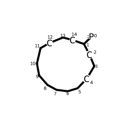 [P]C1CCCCCCCCCCCCC1